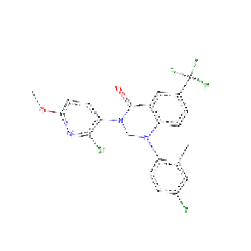 COc1ccc(N2CN(c3ccc(F)cc3C)c3ccc(C(F)(F)F)cc3C2=O)c(Br)n1